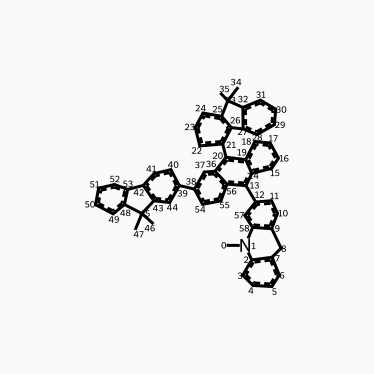 CN1c2ccccc2Cc2ccc(-c3c4ccccc4c(-c4cccc5c4-c4ccccc4C5(C)C)c4cc(-c5ccc6c(c5)C(C)(C)c5ccccc5-6)ccc34)cc21